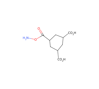 NOC(=O)C1CC(C(=O)O)CC(C(=O)O)C1